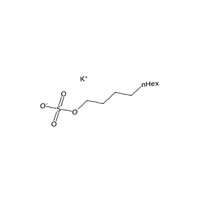 CCCCCCCCCCOS(=O)(=O)[O-].[K+]